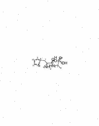 CC(NC(=O)[C@@H](N)Cc1cccs1)P(=O)(O)O